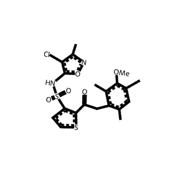 COc1c(C)cc(C)c(CC(=O)c2sccc2S(=O)(=O)Nc2onc(C)c2Cl)c1C